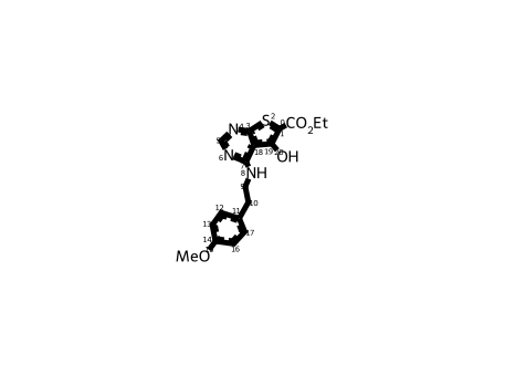 CCOC(=O)c1sc2ncnc(NCCc3ccc(OC)cc3)c2c1O